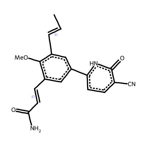 C/C=C/c1cc(-c2ccc(C#N)c(=O)[nH]2)cc(/C=C/C(N)=O)c1OC